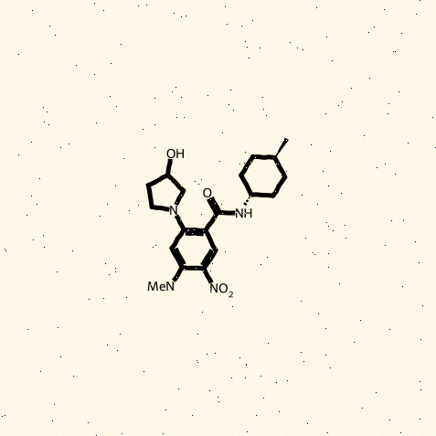 CNc1cc(N2CCC(O)C2)c(C(=O)N[C@H]2CC[C@H](C)CC2)cc1[N+](=O)[O-]